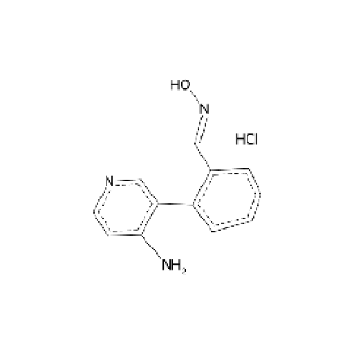 Cl.Nc1ccncc1-c1ccccc1C=NO